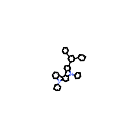 c1ccc(-c2cc(-c3ccccc3)cc(-c3ccc4c5c6c7ccccc7n(-c7ccccc7)c6ccc5n(-c5ccccc5)c4c3)c2)cc1